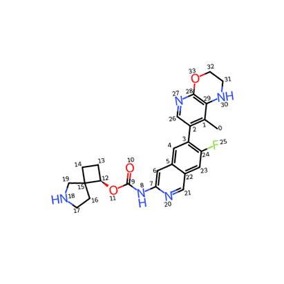 Cc1c(-c2cc3cc(NC(=O)O[C@@H]4CCC45CCNC5)ncc3cc2F)cnc2c1NCCO2